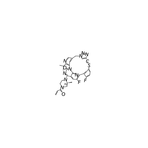 C=CC(=O)N1CCN(c2nc(=O)n3c4nc(c(F)cc24)-c2cc(ccc2F)SCc2cn(nn2)Cc2cnc(C(C)C)c-3c2)[C@@H](C)C1